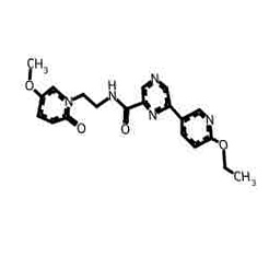 CCOc1ccc(-c2cncc(C(=O)NCCn3cc(OC)ccc3=O)n2)cn1